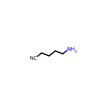 N#CCCCCN